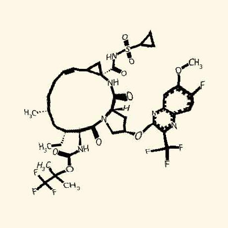 CC[C@@H]1C[C@H](C)CC/C=C\C2C[C@@]2(C(=O)NS(=O)(=O)C2CC2)NC(=O)[C@@H]2C[C@@H](Oc3nc4cc(OC)c(F)cc4nc3C(F)(F)F)CN2C(=O)[C@H]1NC(=O)OC(C)(C)C(F)(F)F